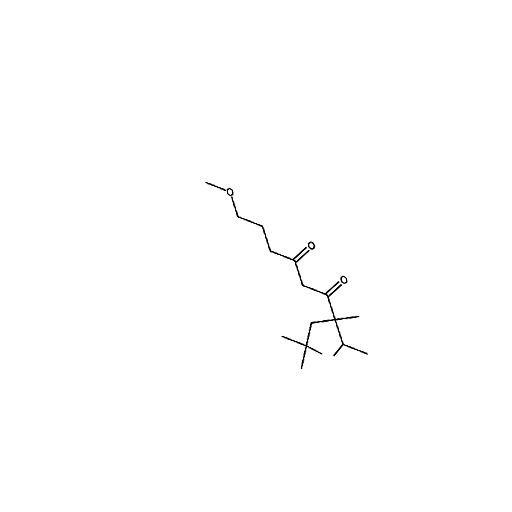 COCCCC(=O)CC(=O)C(C)(CC(C)(C)C)C(C)C